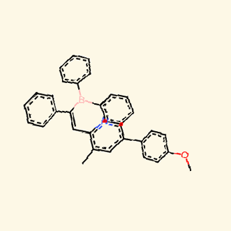 COc1ccc(-c2cnc(/C=C(\B(c3ccccc3)c3ccccc3)c3ccccc3)c(C)c2)cc1